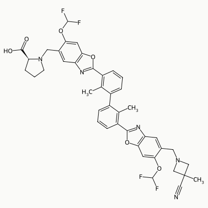 Cc1c(-c2nc3cc(CN4CC(C)(C#N)C4)c(OC(F)F)cc3o2)cccc1-c1cccc(-c2nc3cc(CN4CCC[C@H]4C(=O)O)c(OC(F)F)cc3o2)c1C